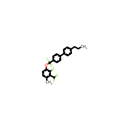 CCCc1ccc(-c2ccc(C(F)(F)Oc3ccc(C)c(C(F)F)c3F)cc2)cc1